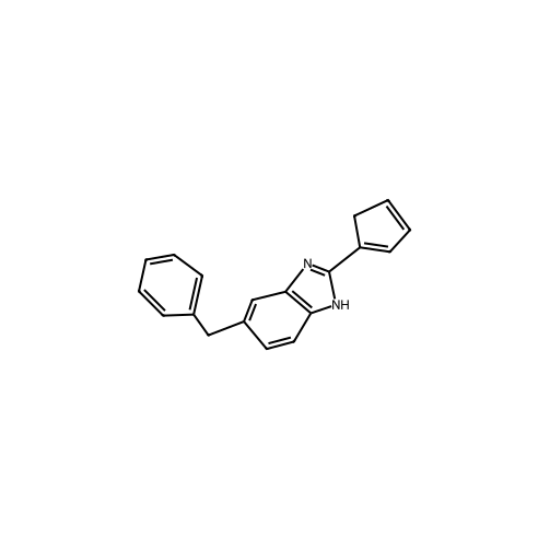 C1=CCC(c2nc3cc(Cc4ccccc4)ccc3[nH]2)=C1